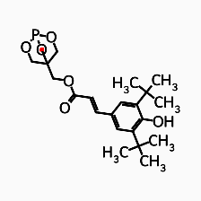 CC(C)(C)c1cc(/C=C/C(=O)OCC23COP(OC2)OC3)cc(C(C)(C)C)c1O